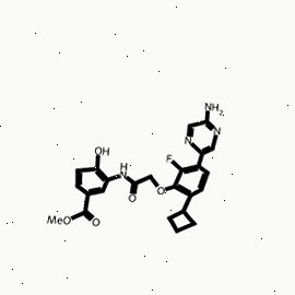 COC(=O)c1ccc(O)c(NC(=O)COc2c(C3CCC3)ccc(-c3cnc(N)cn3)c2F)c1